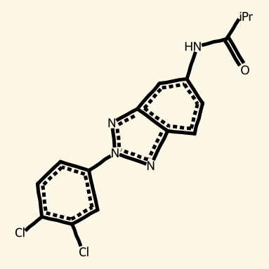 CC(C)C(=O)Nc1ccc2nn(-c3ccc(Cl)c(Cl)c3)nc2c1